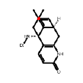 C/C=C1\[C@H]2C=C(C)C[C@]1(NCC)c1ccc(=O)[nH]c1C2